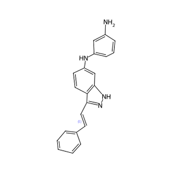 Nc1cccc(Nc2ccc3c(/C=C/c4ccccc4)n[nH]c3c2)c1